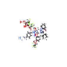 NCc1ccc(CNC(=O)N(CCc2ccccc2)C(=O)[C@@H](Cc2ccc(OCC(F)(F)F)cc2)NC(=O)c2ccccc2)cc1.O=C(O)C(F)(F)F.O=C(O)C(F)(F)F